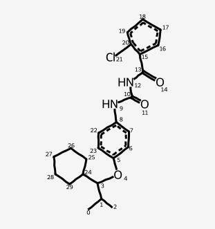 CC(C)C(Oc1ccc(NC(=O)NC(=O)c2ccccc2Cl)cc1)C1CCCCC1